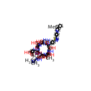 COC1(C2CCCCC2)CCN(c2ccc(-c3nnc([C@H]4CC[C@H](CN[C@H]5C[C@@H](O)CNC(=O)[C@@H]6[C@@H](O)[C@@H](C)CN6C(=O)[C@H]([C@H](O)COCNCCN(C)C)NC(=O)[C@H]([C@H](O)Cc6ccc(O)c(OS(=O)(=O)O)c6)NC(=O)[C@@H]6C[C@@H](O)CN6C(=O)[C@H]([C@@H](C)O)NC5=O)CC4)s3)cc2)CC1